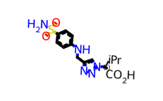 CC(C)[C@@H](C(=O)O)n1cc(CNc2ccc(S(N)(=O)=O)cc2)nn1